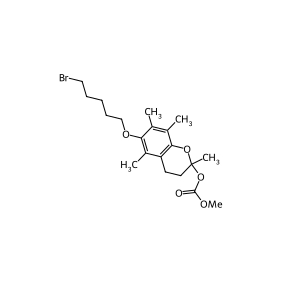 COC(=O)OC1(C)CCc2c(C)c(OCCCCCBr)c(C)c(C)c2O1